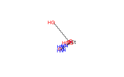 CCOP(=O)(C[C@@H](O)CNCc1c[nH]c2c(=O)[nH]cnc12)OCCCCCCCCCCCCCCCCCCCO